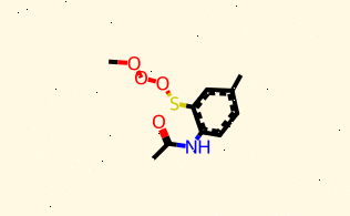 COOOSc1cc(C)ccc1NC(C)=O